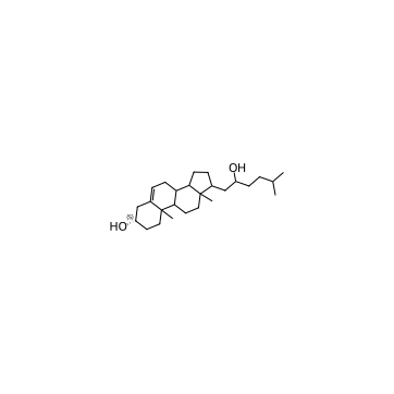 CC(C)CCC(O)CC1CCC2C3CC=C4C[C@@H](O)CCC4(C)C3CCC12C